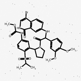 COC(=O)Nc1ccc(S(=O)(=O)C(C)C)c(C2CCCN2C(=O)C(Nc2ccc3c(Br)c[nH]c(=O)c3c2)c2ccc(OC)c(OC)c2)c1